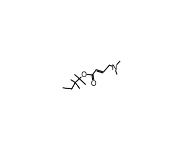 CCC(C)(C)C(C)(C)OC(=O)/C=C/CN(C)C